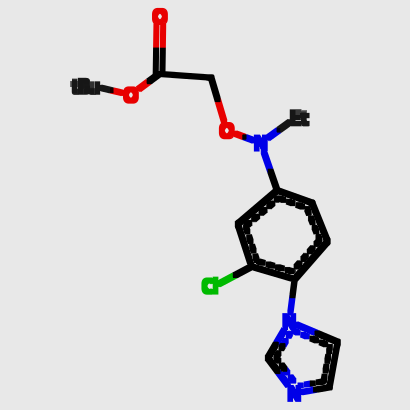 CCN(OCC(=O)OC(C)(C)C)c1ccc(-n2ccnc2)c(Cl)c1